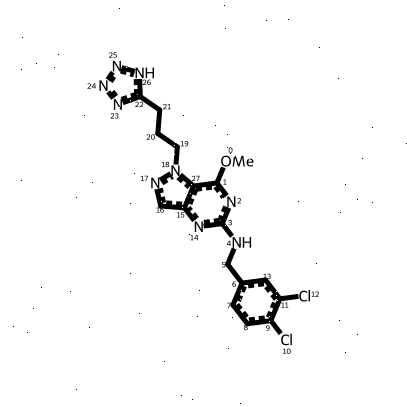 COc1nc(NCc2ccc(Cl)c(Cl)c2)nc2cnn(CCCc3nnn[nH]3)c12